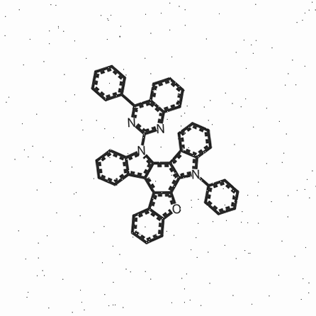 c1ccc(-c2nc(-n3c4ccccc4c4c5c6ccccc6oc5c5c(c6ccccc6n5-c5ccccc5)c43)nc3ccccc23)cc1